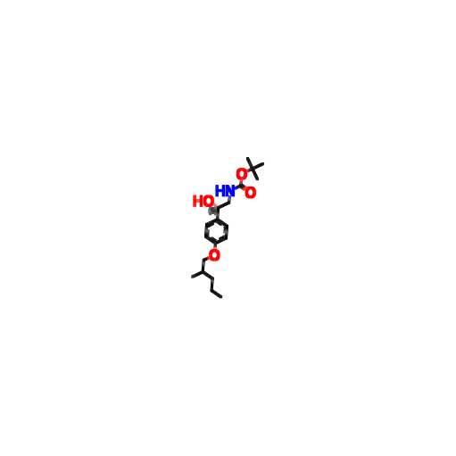 CCCC(C)COc1ccc([C@H](O)CNC(=O)OC(C)(C)C)cc1